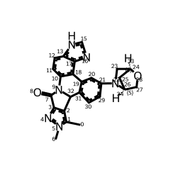 Cc1c2c(nn1C)C(=O)N1c3ccc4[nH]cnc4c3-c3cc(N4C[C@@H]5C[C@H]4CO5)ccc3C21